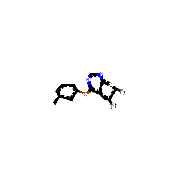 CCc1cc2ncnc(Sc3cccc(C)c3)c2cc1CC